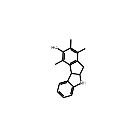 Cc1c(C)c2c(c(C)c1O)C1c3ccccc3NC1C2